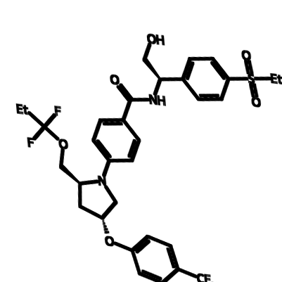 CCC(F)(F)OC[C@@H]1C[C@@H](Oc2ccc(C(F)(F)F)cc2)CN1c1ccc(C(=O)N[C@@H](CO)c2ccc(S(=O)(=O)CC)cc2)cc1